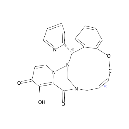 O=C1c2c(O)c(=O)ccn2N2CN1C/C=C\COc1ccccc1[C@H]2c1ccccn1